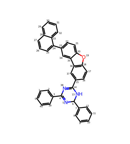 c1ccc(C2=NC(c3ccccc3)NC(c3ccc4oc5ccc(-c6cccc7ccccc67)cc5c4c3)=N2)cc1